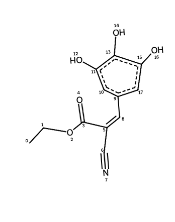 CCOC(=O)C(C#N)=Cc1cc(O)c(O)c(O)c1